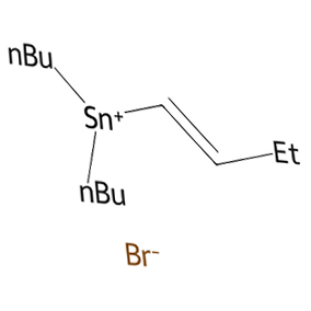 CC/C=[CH]/[Sn+]([CH2]CCC)[CH2]CCC.[Br-]